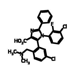 CN(C)Cc1ccc(Cl)cc1-c1c(C(=O)O)nc(-c2ccccc2)n1-c1cccc(Cl)c1F